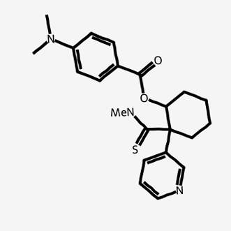 CNC(=S)C1(c2cccnc2)CCCCC1OC(=O)c1ccc(N(C)C)cc1